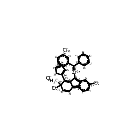 CCc1ccc2c(c1)=[C]([Zr+2]=[C](c1ccccc1)c1ccccc1)C1=C(C3=CC=CC3)C(C)(CC)C=CC=21.[Cl-].[Cl-]